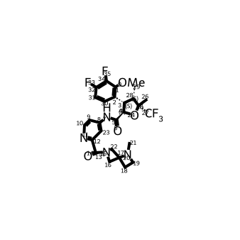 COc1c([C@H]2[C@H](C(=O)Nc3ccnc(C(=O)N4CC5(CCN5C)C4)c3)O[C@@](C)(C(F)(F)F)[C@H]2C)ccc(F)c1F